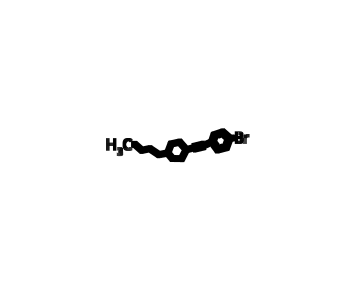 CCCCCC1CCC(C#Cc2ccc(Br)cc2)CC1